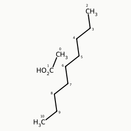 CC(=O)O.CCCCCCCCC